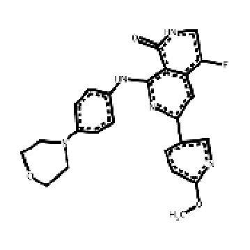 COc1ccc(-c2cc3c(F)c[nH]c(=O)c3c(Nc3ccc(N4CCOCC4)cc3)n2)cn1